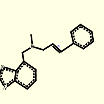 CN(C/C=C/c1ccccc1)Cc1cccc2ncsc12